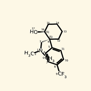 CN(C)C[C@@]1(c2ccc(C(F)(F)F)cc2)CCCC[C@@H]1O